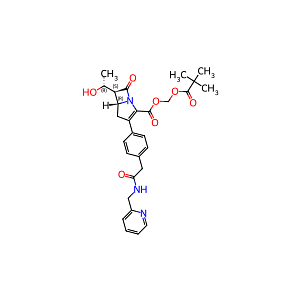 C[C@@H](O)[C@H]1C(=O)N2C(C(=O)OCOC(=O)C(C)(C)C)=C(c3ccc(CC(=O)NCc4ccccn4)cc3)C[C@H]12